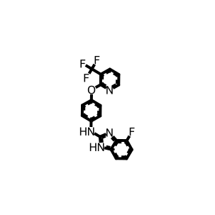 Fc1cccc2[nH]c(Nc3ccc(Oc4ncccc4C(F)(F)F)cc3)nc12